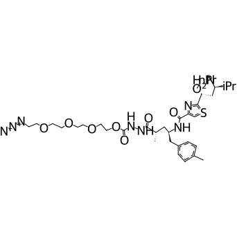 CCCO[C@H](C[C@@H](N)C(C)C)c1nc(C(=O)N[C@@H](Cc2ccc(C)cc2)C[C@H](C)C(=O)NNC(=O)OCCOCCOCCOCCN=[N+]=[N-])cs1